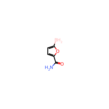 Bc1ccc(C(N)=O)o1